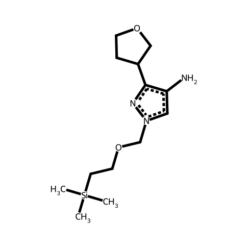 C[Si](C)(C)CCOCn1cc(N)c(C2CCOC2)n1